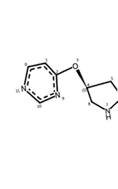 c1cc(O[C@H]2CCNC2)ncn1